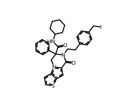 O=C1c2cc3sccc3n2CC(C(=O)NC2CCCCC2)(c2ccccc2)N1CCc1ccc(CI)cc1